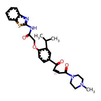 CC(C)c1cc(C(=O)/C=C\C(=O)N2CCN(C)CC2)ccc1OCC(=O)Nc1nc2ccccc2s1